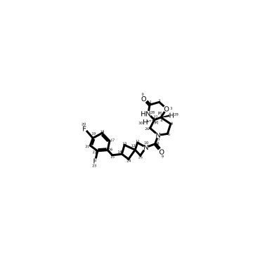 O=C1CO[C@@H]2CCN(C(=O)N3CC4(CC(Cc5ccc(F)cc5F)C4)C3)C[C@H]2N1